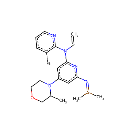 C=CN(c1cc(N2CCOCC2C)cc(N=S(C)C)n1)c1ncccc1CC